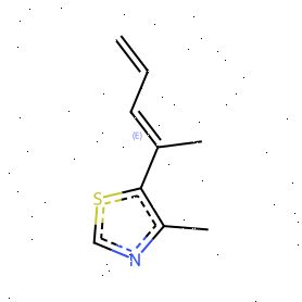 C=C/C=C(\C)c1scnc1C